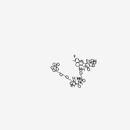 CC[C@@]1(O)C(=O)OCc2c1cc1n(c2=O)Cc2c-1nc1cc(F)c(C)c3c1c2C(NCOCCNC(=O)[C@@H](C)NC(=O)[C@H](NC(=O)CCOCCOCCC(=O)ON1C(=O)CCC1=O)C(C)C)CC3